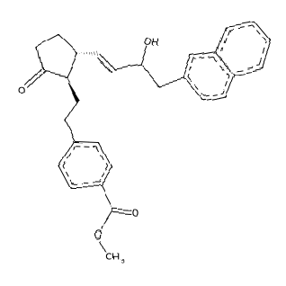 COC(=O)c1ccc(CC[C@H]2C(=O)CC[C@@H]2C=CC(O)Cc2ccc3ccccc3c2)cc1